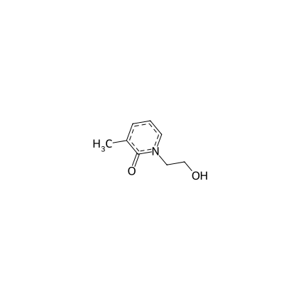 Cc1cccn(CCO)c1=O